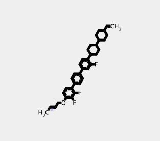 C=CC1CCC(C2CCC(c3ccc(-c4ccc(-c5ccc(OC/C=C/C)c(F)c5F)cc4)cc3F)CC2)CC1